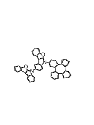 c1ccc2c(c1)-c1ccccc1-c1ccc(-n3c4ccc(-n5c6ccccc6c6c7ccccc7oc65)cc4c4c5ccccc5oc43)cc1-c1ccccc1-2